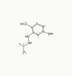 CCOC(=O)c1cnc(SC)nc1NNC(C)C(F)(F)F